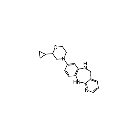 c1cnc2c(c1)CNc1cc(N3CCOC(C4CC4)C3)ccc1N2